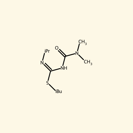 CCC(C)SC(=NC(C)C)NC(=O)N(C)C